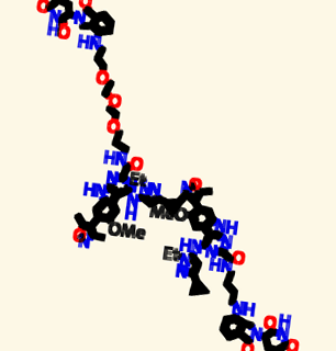 CCn1nc(C2CC2)cc1Nc1nc(C(=O)NCCCCNc2cccc3c2CN(C2CCC(=O)NC2=O)C3=O)nc2[nH]c3cc(-c4c(C5CC5c5cc(Nc6nc(C(=O)NCCCOCCOCCOCCCNc7cccc8c7CN(C7CCC(=O)NC7=O)C8=O)nc7[nH]c8cc(-c9c(C)noc9C)c(OC)cc8c67)n(CC)n5)noc4C)c(OC)cc3c12